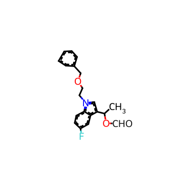 CC(OC=O)c1cn(CCOCc2ccccc2)c2ccc(F)cc12